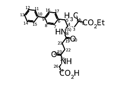 CCOC(=O)[C@H](C)C[C@@H](Cc1ccc(-c2ccccc2)cc1)NC(=O)CCC(=O)NCC(=O)O